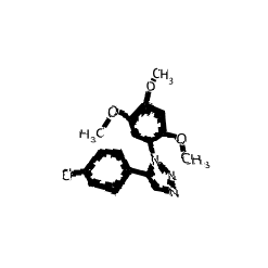 COc1cc(OC)c(-n2nncc2-c2ccc(Cl)cc2)cc1OC